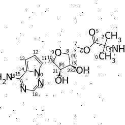 CC(C)(N)C(=O)OC[C@H]1O[C@@H](c2ccc3c(N)ncnn23)[C@H](O)[C@@H]1O